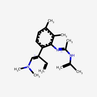 C=C/C(=C\N(C)C)c1ccc(C)c(C)c1/N=C(\C)NC(=C)C